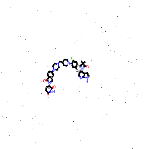 COc1cc(N2CCC(CN3CCN(c4ccc5c(c4)CN([C@H]4CCC(=O)NC4=O)C5=O)CC3)CC2)c(F)cc1[C@@H]1N(c2ccnc3[nH]ccc23)C(=O)C1(C)C